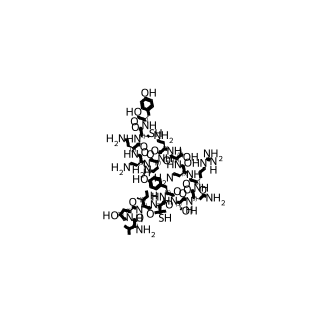 CC[C@H](C)[C@H](NC(=O)[C@@H]1C[C@@H](O)CN1C(=O)[C@@H](N)C(C)C)C(=O)N[C@H](C(=O)N[C@@H](Cc1ccc(O)cc1)C(=O)N[C@@H](CO)C(=O)N[C@@H](CC(N)=O)C(=O)N[C@@H](CCCNC(=N)N)C(=O)N[C@@H](CCN)C(=O)N[C@H](C(=O)N[C@H](CCN)C(=O)N[C@@H](CCN)C(=O)N[C@@H](CCN)C(=O)N[C@@H](CCN)C(=O)N[C@@H](CS)C(=O)N[C@@H](Cc1ccc(O)cc1)C(=O)O)[C@@H](C)O)C(C)(C)S